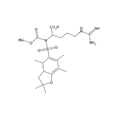 CC1=C2OC(C)(C)CC2C(C)C(S(=O)(=O)N(C(=O)OC(C)(C)C)C(CCCNC(=N)N)C(=O)O)=C1C